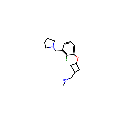 CNCC1CC(Oc2cccc(CN3CCCC3)c2F)C1